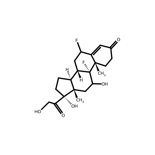 C[C@]12CCC(=O)C=C1C(F)C[C@H]1[C@@H]3CC[C@](O)(C(=O)CO)[C@@]3(C)CC(O)[C@@]12F